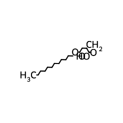 C=C(CC(=O)OCCCCCCCCCCCC)C(=O)O